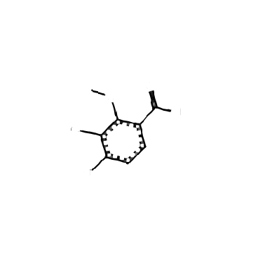 COc1c(C(=O)O)ccc(Cl)c1Cl